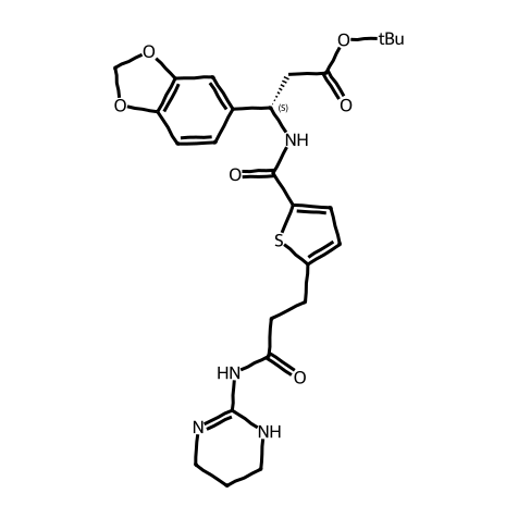 CC(C)(C)OC(=O)C[C@H](NC(=O)c1ccc(CCC(=O)NC2=NCCCN2)s1)c1ccc2c(c1)OCO2